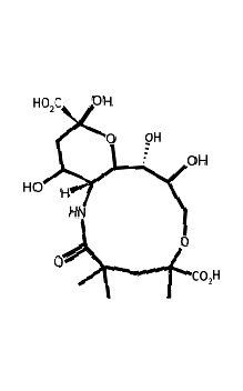 CC1(C)CC(C)(C(=O)O)OCC(O)[C@@H](O)C2O[C@](O)(C(=O)O)CC(O)[C@H]2NC1=O